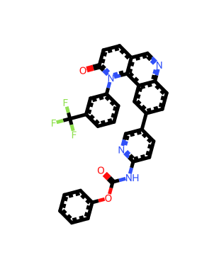 O=C(Nc1ccc(-c2ccc3ncc4ccc(=O)n(-c5cccc(C(F)(F)F)c5)c4c3c2)cn1)Oc1ccccc1